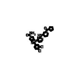 NC(=O)N1Cc2nc(-c3ccc(Cl)c(Cl)c3)n(-c3ccnc(NC4CCCN(C(=O)C5CCCC5)C4)n3)c2C1